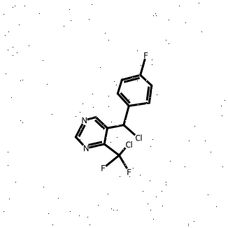 Fc1ccc(C(Cl)c2cncnc2C(F)(F)Cl)cc1